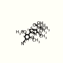 COc1cc(C#N)cc(OC)c1-c1csc2c(N(C(=O)O)C(C)(C)C)c(OC)nn12